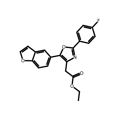 CCOC(=O)Cc1nc(-c2ccc(F)cc2)oc1-c1ccc2occc2c1